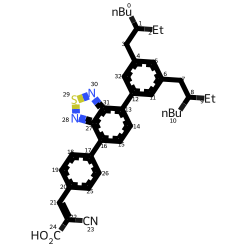 CCCCC(CC)Cc1cc(CC(CC)CCCC)cc(-c2ccc(-c3ccc(/C=C(\C#N)C(=O)O)cc3)c3nsnc23)c1